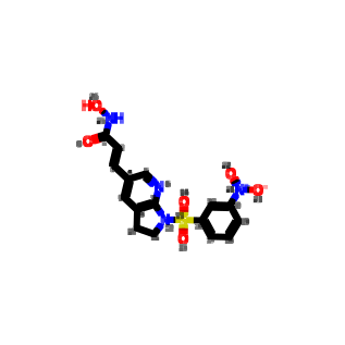 O=C(/C=C/c1cnc2c(c1)CCN2S(=O)(=O)c1cccc([N+](=O)[O-])c1)NO